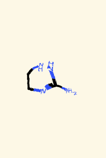 NC1=NCCNN1